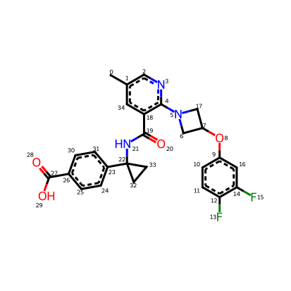 Cc1cnc(N2CC(Oc3ccc(F)c(F)c3)C2)c(C(=O)NC2(c3ccc(C(=O)O)cc3)CC2)c1